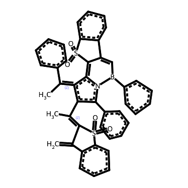 C=C1/C(=C(\C)c2c(-c3ccccc3)n3c(/c2=C(/C)c2ccccc2)=C2C(=CB3c3ccccc3)c3ccccc3S2(=O)=O)S(=O)(=O)c2ccccc21